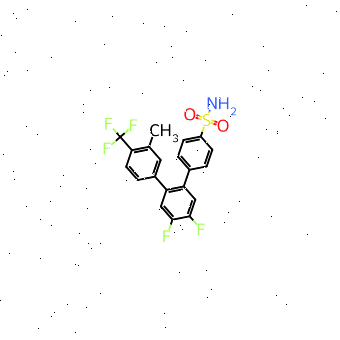 Cc1cc(-c2cc(F)c(F)cc2-c2ccc(S(N)(=O)=O)cc2)ccc1C(F)(F)F